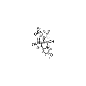 COc1ccc(C2SC(=O)N[C@@H]2N(C(=O)O)[C@H](CO[N+](=O)[O-])CC(C)C)cc1